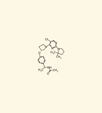 CC(=O)N[C@@H](C)c1ccc(O[C@@H]2CCN(c3nc(N4CCCC4(C)C)ncc3Cl)C2)cc1